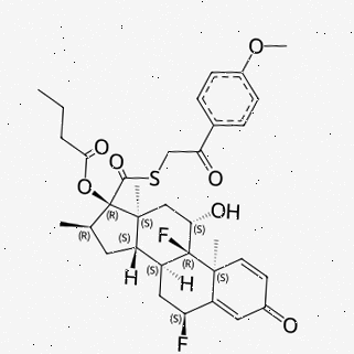 CCCC(=O)O[C@]1(C(=O)SCC(=O)c2ccc(OC)cc2)[C@H](C)C[C@H]2[C@@H]3C[C@H](F)C4=CC(=O)C=C[C@]4(C)[C@@]3(F)[C@@H](O)C[C@@]21C